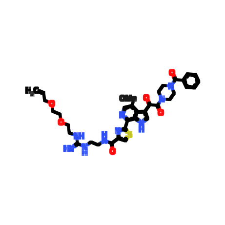 C=CCOCCOCCNC(=N)NCCNC(=O)c1csc(-c2ncc(OC)c3c(C(=O)C(=O)N4CCN(C(=O)c5ccccc5)CC4)c[nH]c23)n1